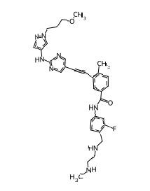 CNCCNCc1ccc(NC(=O)c2ccc(C)c(C#Cc3cnc(Nc4cnn(CCCOC)c4)nc3)c2)cc1F